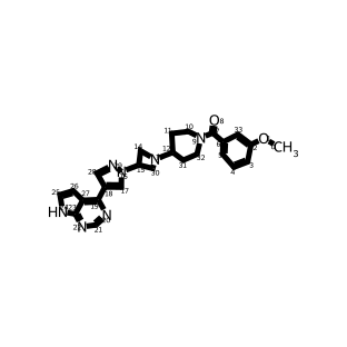 COc1cccc(C(=O)N2CCC(N3C[C](n4cc(-c5ncnc6[nH]ccc56)cn4)C3)CC2)c1